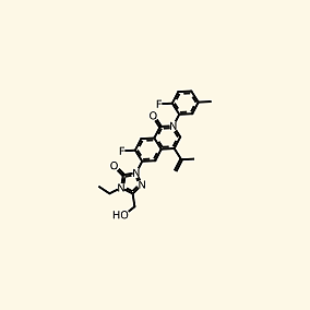 C=C(C)c1cn(-c2cc(C)ccc2F)c(=O)c2cc(F)c(-n3nc(CO)n(CC)c3=O)cc12